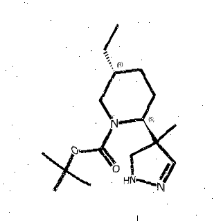 CC[C@@H]1CC[C@@H](C2(C)C=NNC2)N(C(=O)OC(C)(C)C)C1